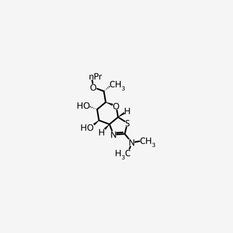 CCCO[C@H](C)[C@H]1O[C@@H]2SC(N(C)C)=N[C@@H]2[C@@H](O)[C@@H]1O